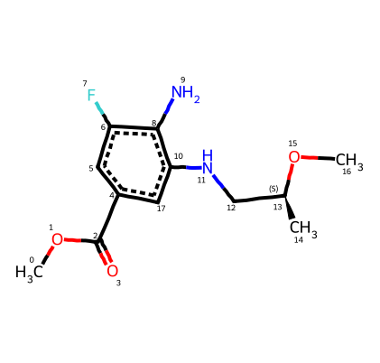 COC(=O)c1cc(F)c(N)c(NC[C@H](C)OC)c1